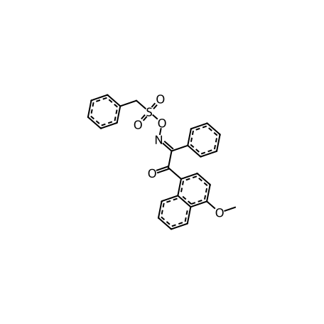 COc1ccc(C(=O)/C(=N/OS(=O)(=O)Cc2ccccc2)c2ccccc2)c2ccccc12